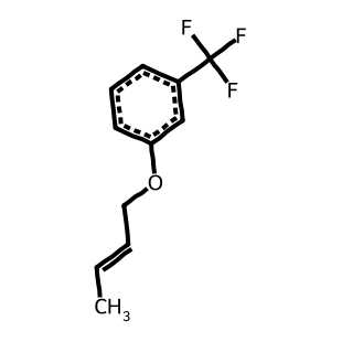 CC=CCOc1cccc(C(F)(F)F)c1